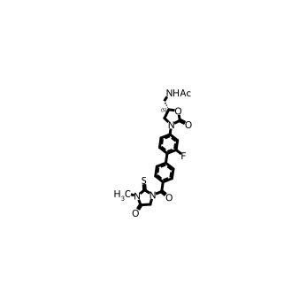 CC(=O)NC[C@H]1CN(c2ccc(-c3ccc(C(=O)N4CC(=O)N(C)C4=S)cc3)c(F)c2)C(=O)O1